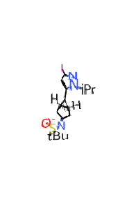 CC(C)n1nc(I)cc1C1[C@H]2CC(=N[S+]([O-])C(C)(C)C)C[C@@H]12